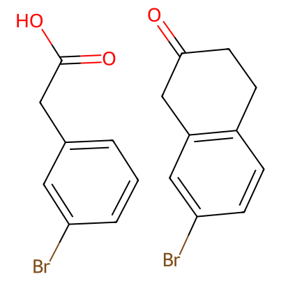 O=C(O)Cc1cccc(Br)c1.O=C1CCc2ccc(Br)cc2C1